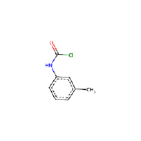 Cc1cccc(NC(=O)Cl)c1